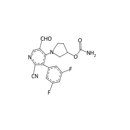 N#Cc1ncc(C=O)c(N2CCC(OC(N)=O)C2)c1-c1cc(F)cc(F)c1